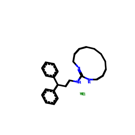 Cl.c1ccc(C(CCN/C2=N\CCCCCCCCCCN2)c2ccccc2)cc1